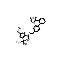 CCc1nc(C(C)(C)O)c(C(=O)OCc2ccc(-c3ccccc3-c3nnn[nH]3)cc2)[nH]1